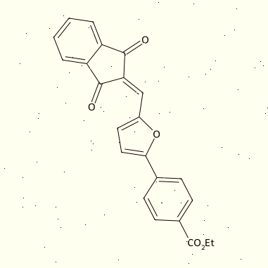 CCOC(=O)c1ccc(-c2ccc(C=C3C(=O)c4ccccc4C3=O)o2)cc1